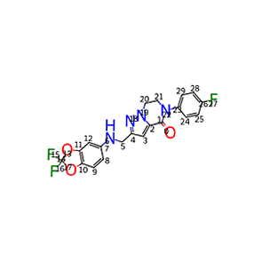 O=C1c2cc(CNc3ccc4c(c3)OC(F)(F)O4)nn2CCN1c1ccc(F)cc1